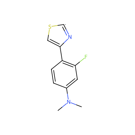 CN(C)c1ccc(-c2cs[c]n2)c(F)c1